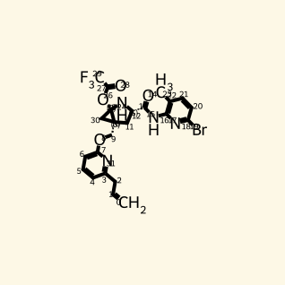 C=CCc1cccc(OC[C@@]23C[C@@H](C(=O)Nc4nc(Br)ccc4C)N[C@@]2(OC(=O)C(F)(F)F)C3)n1